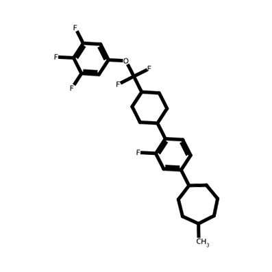 CC1CCCC(c2ccc(C3CCC(C(F)(F)Oc4cc(F)c(F)c(F)c4)CC3)c(F)c2)CC1